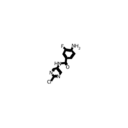 Nc1ccc(C(=O)Nc2cnc(Cl)nc2)cc1F